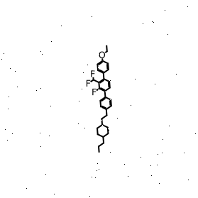 CCCC1CCC(CCc2ccc(-c3ccc(-c4ccc(OCC)cc4)c(C(F)F)c3F)cc2)CC1